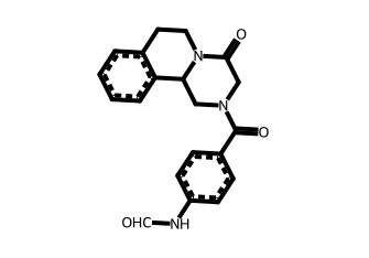 O=CNc1ccc(C(=O)N2CC(=O)N3CCc4ccccc4C3C2)cc1